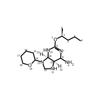 CCC[C@H](C)OC1=NC(N)[C@H]2NCN(C3CCCCO3)[C@H]2N1